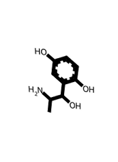 CC(N)C(O)c1cc(O)ccc1O